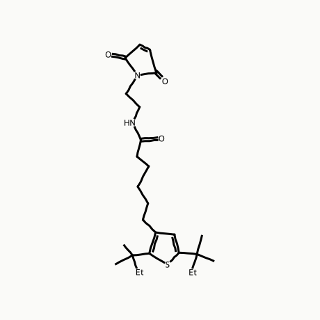 CCC(C)(C)c1cc(CCCCCC(=O)NCCN2C(=O)C=CC2=O)c(C(C)(C)CC)s1